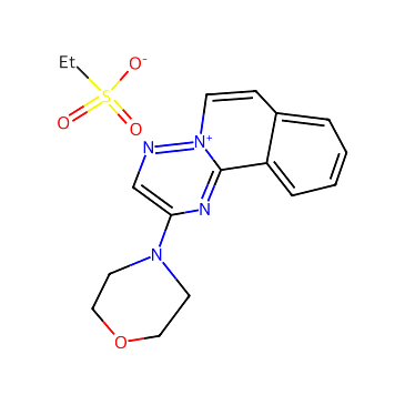 CCS(=O)(=O)[O-].c1ccc2c(c1)cc[n+]1ncc(N3CCOCC3)nc21